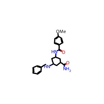 COc1ccc(C(=O)NC2CC(NCc3ccccc3)CC(C(N)=O)C2)cc1